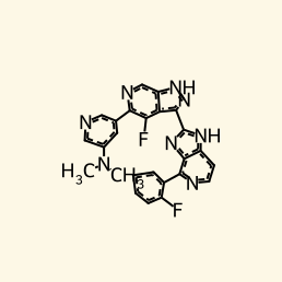 CN(C)c1cncc(-c2ncc3[nH]nc(-c4nc5c(-c6ccccc6F)nccc5[nH]4)c3c2F)c1